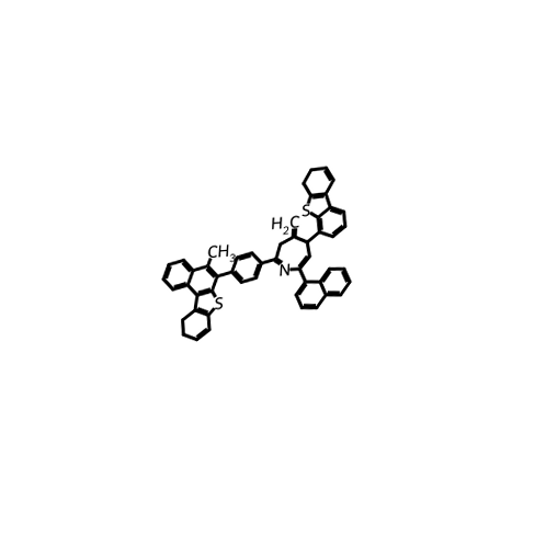 C=C1CC(c2ccc(-c3c(C)c4ccccc4c4c5c(sc34)C=CCC5)cc2)=NC(c2cccc3ccccc23)=CC1c1cccc2c3c(sc12)CCC=C3